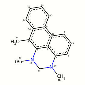 Cc1c2c3c(cccc3c3ccccc13)N(C)CN2C(C)(C)C